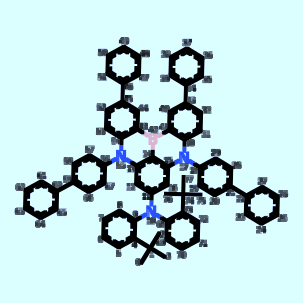 CC(C)(C)c1ccccc1N(c1cc2c3c(c1)N(c1ccc(-c4ccccc4)cc1)c1ccc(-c4ccccc4)cc1B3c1cc(-c3ccccc3)ccc1N2c1ccc(-c2ccccc2)cc1)c1ccccc1C(C)(C)C